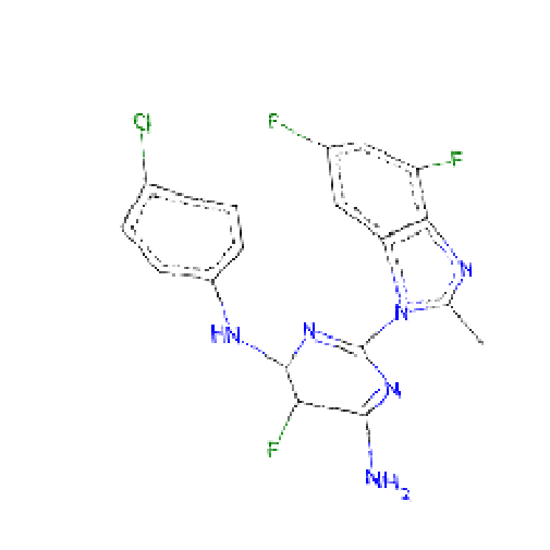 Cc1nc2c(F)cc(F)cc2n1C1=NC(Nc2ccc(Cl)cc2)C(F)C(N)=N1